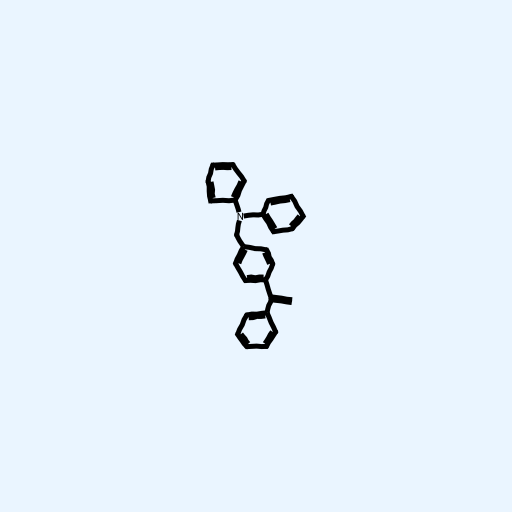 C=C(c1ccccc1)c1ccc(CN(c2ccccc2)c2ccccc2)cc1